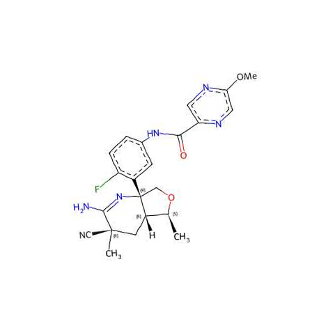 COc1cnc(C(=O)Nc2ccc(F)c([C@@]34CO[C@@H](C)[C@@H]3C[C@@](C)(C#N)C(N)=N4)c2)cn1